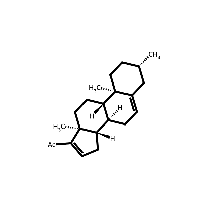 CC(=O)C1=CC[C@H]2[C@@H]3CC=C4C[C@@H](C)CC[C@]4(C)[C@H]3CC[C@]12C